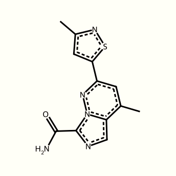 Cc1cc(-c2cc(C)c3cnc(C(N)=O)n3n2)sn1